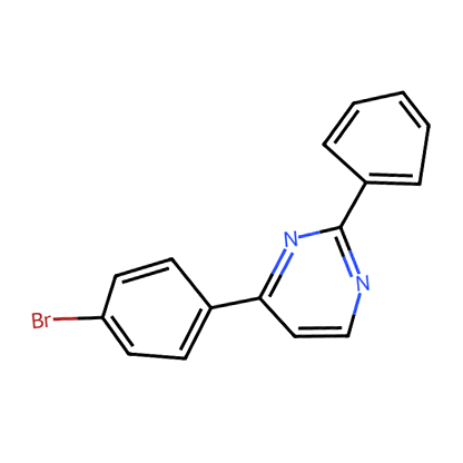 Brc1ccc(-c2ccnc(-c3ccccc3)n2)cc1